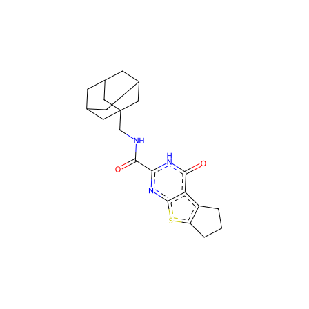 O=C(NCC12CC3CC(CC(C3)C1)C2)c1nc2sc3c(c2c(=O)[nH]1)CCC3